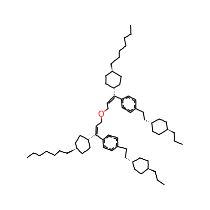 CCCCCCC[C@H]1CC[C@H](C(=CCOCC=C(c2ccc(CC[C@H]3CC[C@H](CCC)CC3)cc2)[C@H]2CC[C@H](CCCCCCC)CC2)c2ccc(CC[C@H]3CC[C@H](CCC)CC3)cc2)CC1